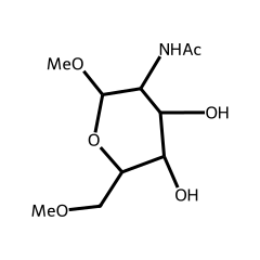 COCC1OC(OC)C(NC(C)=O)C(O)C1O